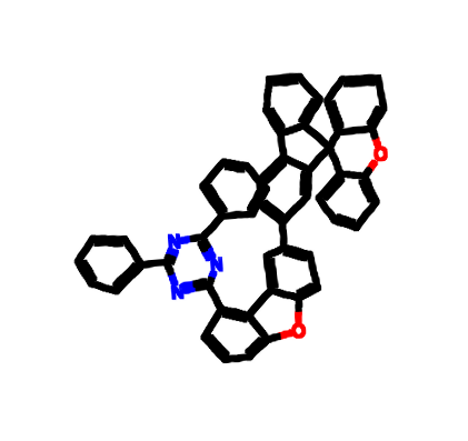 c1ccc(-c2nc(-c3ccccc3)nc(-c3cccc4oc5ccc(-c6ccc7c(c6)C6(c8ccccc8Oc8ccccc86)c6ccccc6-7)cc5c34)n2)cc1